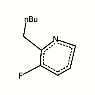 [CH2]CCCCc1ncccc1F